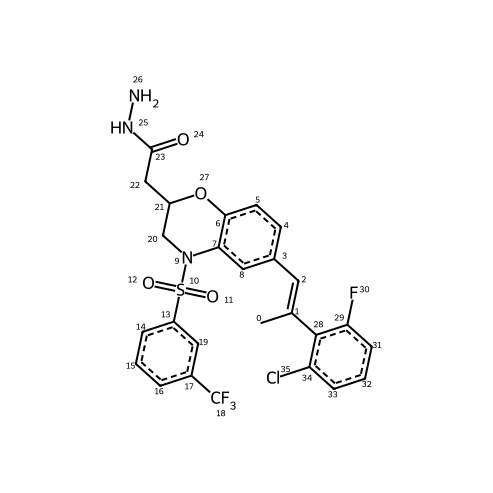 CC(=Cc1ccc2c(c1)N(S(=O)(=O)c1cccc(C(F)(F)F)c1)CC(CC(=O)NN)O2)c1c(F)cccc1Cl